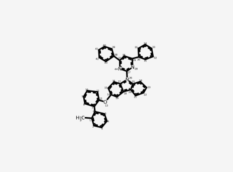 Cc1ccccc1-c1ccccc1Oc1ccc2c(c1)c1ccccc1n2-c1nc(-c2ccccc2)cc(-c2ccccc2)n1